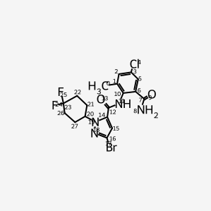 Cc1cc(Cl)cc(C(N)=O)c1NC(=O)c1cc(Br)nn1C1CCC(F)(F)CC1